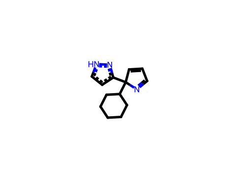 C1=CC([C]2CCCCC2)(c2cc[nH]n2)N=C1